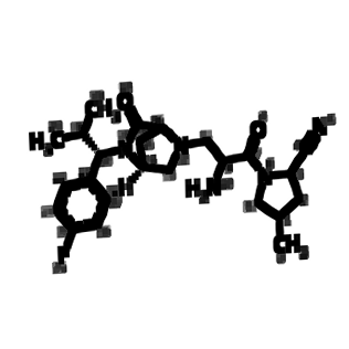 CC1CC(C#N)N(C(=O)C(N)CN2C[C@@H]3CC2C(=O)N3[C@H](c2ccc(F)cc2)C(C)C)C1